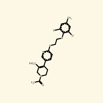 CCOC(=O)C1=C(c2ccc(OCCOc3c(Cl)cc(C)cc3Cl)nc2)CCN(C(=O)C(F)(F)F)C1